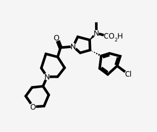 CN(C(=O)O)[C@@H]1CN(C(=O)C2CCN(C3CCOCC3)CC2)C[C@H]1c1ccc(Cl)cc1